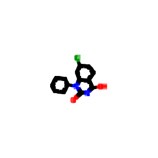 O=c1nc(O)c2ccc(Cl)cc2n1-c1ccccc1